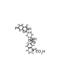 C[C@@H](NC(=O)C1CCC(NS(=O)(=O)c2ccc3c(c2)N(CC(=O)O)CCC3)CC1)c1ccc(F)cc1